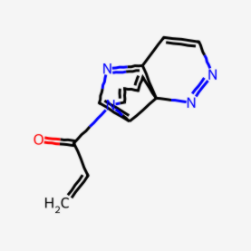 C=CC(=O)N1C=CC=CC23N=NC=CC2=NC=C13